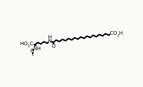 O=C(O)CCCCCCCCCCCCCCCCCCC(=O)NCCCC[C@H](NOI)C(=O)O